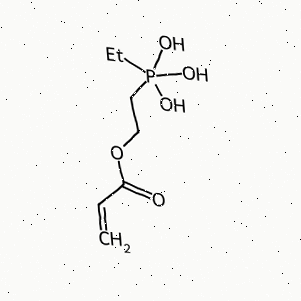 C=CC(=O)OCCP(O)(O)(O)CC